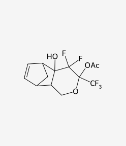 CC(=O)OC1(C(F)(F)F)OCC2C3C=CC(C3)C2(O)C1(F)F